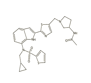 CC(=O)NC1CCN(Cc2cnc(-c3cc4cccc(N(CC5CC5)S(=O)(=O)c5cccs5)c4[nH]3)s2)C1